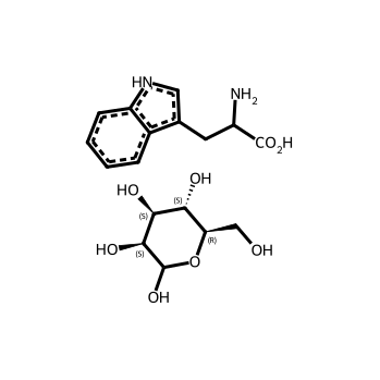 NC(Cc1c[nH]c2ccccc12)C(=O)O.OC[C@H]1OC(O)[C@@H](O)[C@@H](O)[C@@H]1O